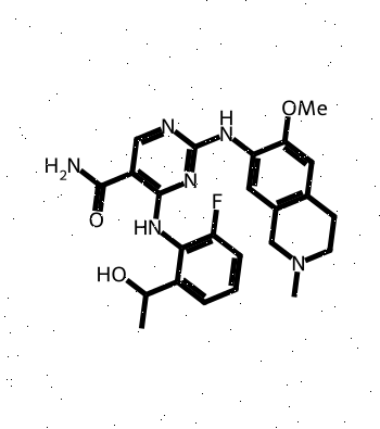 COc1cc2c(cc1Nc1ncc(C(N)=O)c(Nc3c(F)cccc3C(C)O)n1)CN(C)CC2